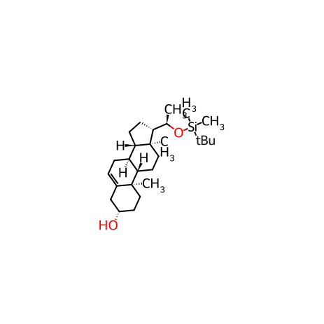 C[C@@H](O[Si](C)(C)C(C)(C)C)[C@H]1CC[C@H]2[C@@H]3CC=C4C[C@@H](O)CC[C@]4(C)[C@H]3CC[C@]12C